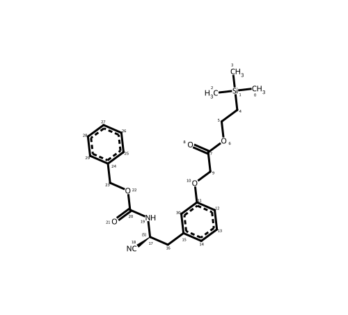 C[Si](C)(C)CCOC(=O)COc1cccc(C[C@@H](C#N)NC(=O)OCc2ccccc2)c1